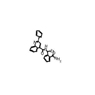 CCC(NC(=O)c1cc(-c2ccccc2)nc2ccccc12)c1ccccc1C(N)=O